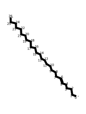 [CH2]CCCCC=CCCCCCCCCCCCCCCCCCCC[CH2]